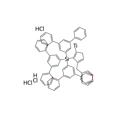 Cl.Cl.Cl.[Ti][C]1=C([Si](c2cc(-c3ccccc3)cc(-c3ccccc3)c2)(c2cc(-c3ccccc3)cc(-c3ccccc3)c2)c2cc(-c3ccccc3)cc(-c3ccccc3)c2)C(Cc2ccccc2)=CC1